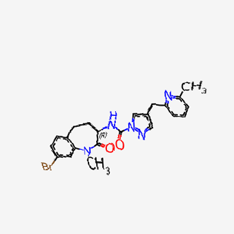 Cc1cccc(Cc2cnn(C(=O)N[C@@H]3CCc4ccc(Br)cc4N(C)C3=O)c2)n1